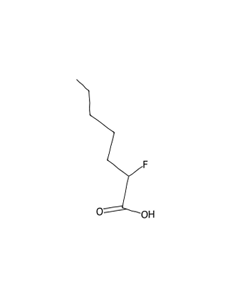 CCCCCC(F)C(=O)O